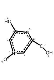 [O-][n+]1cc(O)nc(CO)c1